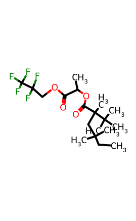 CCC(C)(C)CC(C)(C(=O)OC(C)C(=O)OCC(F)(F)C(F)(F)F)C(C)(C)C